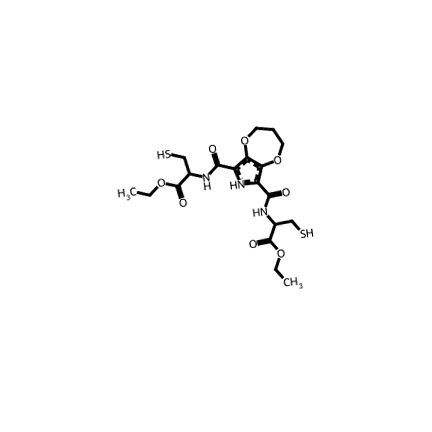 CCOC(=O)C(CS)NC(=O)c1[nH]c(C(=O)NC(CS)C(=O)OCC)c2c1OCCCO2